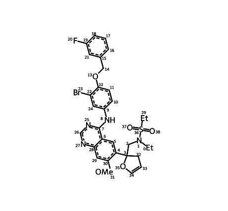 CCN(CC1(c2cc3c(Nc4ccc(OCc5cccc(F)c5)c(Br)c4)ncnc3cc2OC)CC=CO1)S(=O)(=O)CC